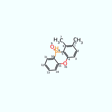 Cc1ccc2c(c1C)[PH](=O)c1ccccc1O2